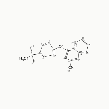 CC(F)(F)c1ccc(Oc2cc(C#N)cc3cccnc23)cc1